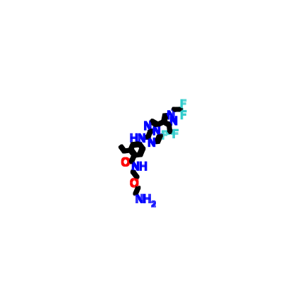 CCc1cc(Nc2nccn3c(-c4cn(CC(F)F)nc4C(F)F)cnc23)ccc1C(=O)NCCOCCN